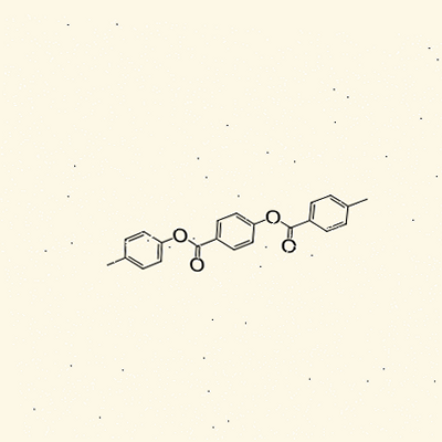 Cc1ccc(OC(=O)c2ccc(OC(=O)c3ccc(C)cc3)cc2)cc1